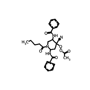 CCCCC(=O)N1CC(NC(=O)c2ccccc2)C(C#N)(OOC(C)=O)CC1NC(=O)c1ccccc1